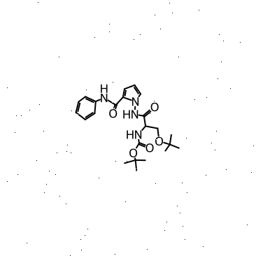 CC(C)(C)OCC(NC(=O)OC(C)(C)C)C(=O)Nn1cccc1C(=O)Nc1ccccc1